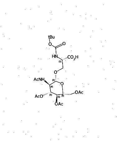 CC(=O)N[C@H]1[C@H](OC[C@H](NC(=O)OC(C)(C)C)C(=O)O)O[C@H](COC(C)=O)[C@@H](OC(C)=O)[C@@H]1OC(C)=O